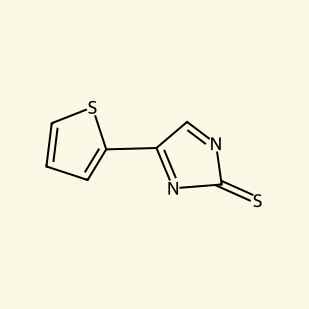 S=C1N=CC(c2cccs2)=N1